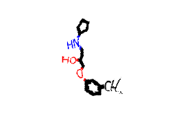 Cc1cccc(OCC(O)CNC2CCCC2)c1